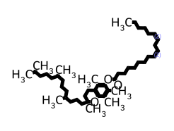 CCCCC/C=C\C/C=C\CCCCCCCC(=O)Oc1c(C)c(C)c2c(c1C)CCC(C)(CCCC(C)CCCC(C)CCCC(C)C)O2